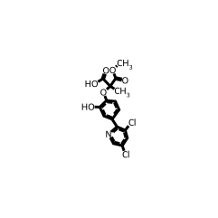 COC(=O)C(C)(Oc1ccc(-c2ncc(Cl)cc2Cl)cc1O)C(=O)O